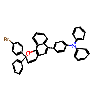 Brc1ccc(C2(c3ccccc3)C=Cc3cc(-c4ccc(N(c5ccccc5)c5ccccc5)cc4)c4ccccc4c3O2)cc1